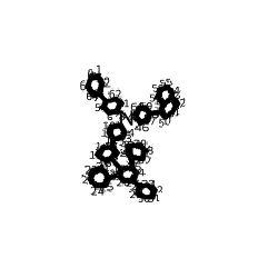 c1ccc(-c2ccc(N(c3ccc(-c4cccc(-c5c(-c6ccccc6)cc(-c6ccccc6)cc5-c5ccccc5)c4)cc3)c3ccc(-c4cccc5ccccc45)cc3)cc2)cc1